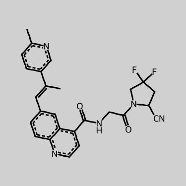 CC(=Cc1ccc2nccc(C(=O)NCC(=O)N3CC(F)(F)CC3C#N)c2c1)c1ccc(C)nc1